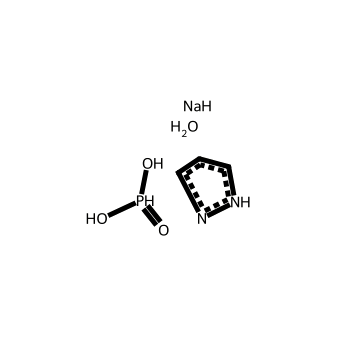 O.O=[PH](O)O.[NaH].c1cn[nH]c1